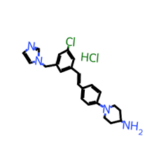 Cl.NC1CCN(c2ccc(/C=C/c3cc(Cl)cc(Cn4ccnc4)c3)cc2)CC1